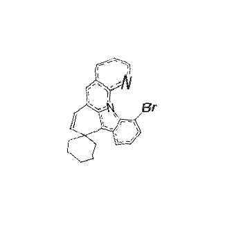 Brc1cccc2c3c4c(cc5cccnc5n4c12)C=CC31CCCCC1